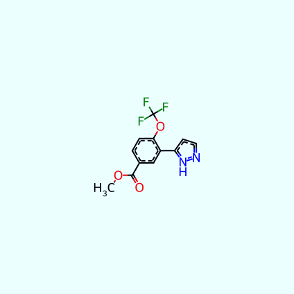 COC(=O)c1ccc(OC(F)(F)F)c(-c2ccn[nH]2)c1